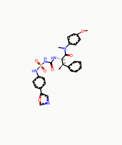 COc1ccc(N(C)C(=O)[C@@H](NC(=O)NS(=O)(=O)Nc2ccc(-c3cnco3)cc2)[C@H](C)c2ccccc2)cc1